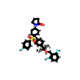 O=C1CCCN1[C@H]1CC[C@@](c2ccc(C(OCc3c(F)cccc3F)(C(F)(F)F)C(F)(F)F)cc2)(S(=O)(=O)c2ccc(F)cc2)CC1